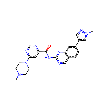 CN1CCN(c2cc(C(=O)Nc3ncc4ccc(-c5cnn(C)c5)cc4n3)ncn2)CC1